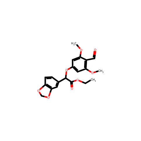 CCOC(=O)C(Oc1cc(OC)c(C=O)c(OC)c1)c1ccc2c(c1)OCO2